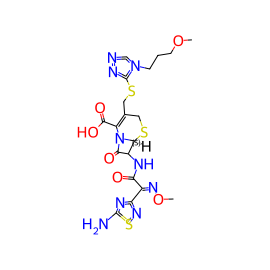 COCCCn1cnnc1SCC1=C(C(=O)O)N2C(=O)C(NC(=O)C(=NOC)c3nsc(N)n3)[C@@H]2SC1